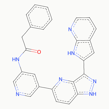 O=C(Cc1ccccc1)Nc1cncc(-c2ccc3[nH]nc(-c4cc5cccnc5[nH]4)c3n2)c1